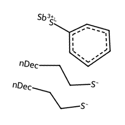 CCCCCCCCCCCC[S-].CCCCCCCCCCCC[S-].[S-]c1ccccc1.[Sb+3]